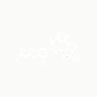 CN/N=C(C)\C=C(/C=O)Oc1ccc(C(=O)NCC(=O)N2C(c3cccc(Cl)c3)CCC2C2(C#N)COC2)cc1C